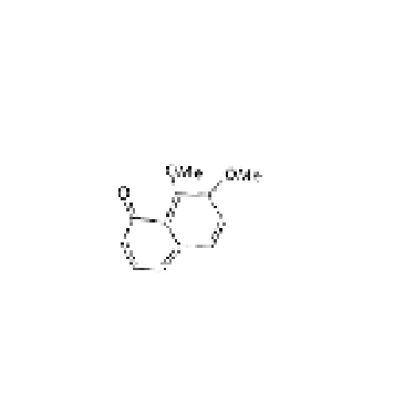 COC1=C2C(=O)C=CC=C2C=CC1OC